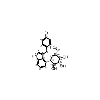 CCc1ccc(Cc2c[nH]c3cccc([C@@H]4O[C@H](CO)[C@@H](O)[C@H](O)[C@H]4O)c23)cc1